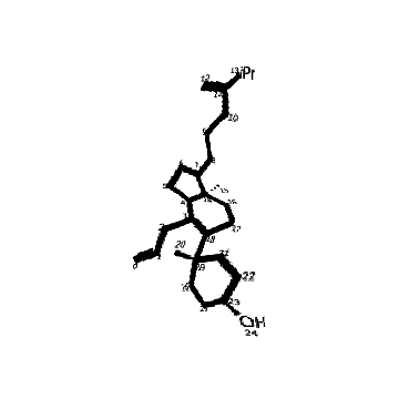 C=CCC1C2CCC(CCCC(=C)C(C)C)[C@@]2(C)CCC1[C@]1(C)CC[C@@H](O)CC1